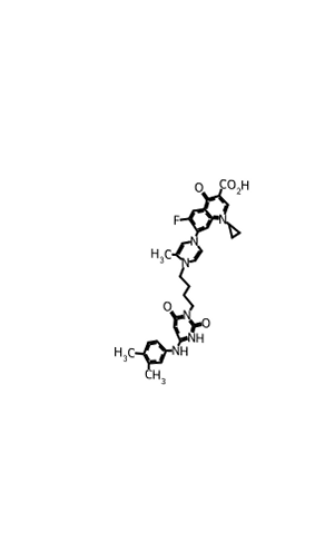 CC1=CN(c2cc3c(cc2F)c(=O)c(C(=O)O)cn3C2CC2)C=CN1CCCCn1c(=O)cc(Nc2ccc(C)c(C)c2)[nH]c1=O